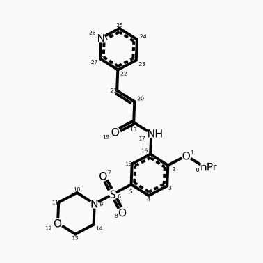 CCCOc1ccc(S(=O)(=O)N2CCOCC2)cc1NC(=O)C=Cc1cccnc1